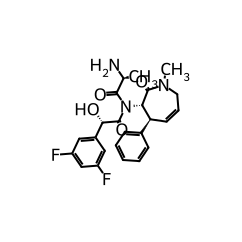 C[C@H](N)C(=O)N(C(=O)[C@@H](O)c1cc(F)cc(F)c1)[C@@H]1C(=O)N(C)CC=C[C@H]1c1ccccc1